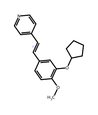 COc1ccc(/C=C/c2ccncc2)cc1OC1CCCC1